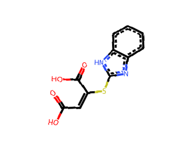 O=C(O)C=C(Sc1nc2ccccc2[nH]1)C(=O)O